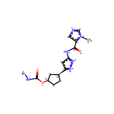 CC(C)NC(=O)O[C@@H]1CC[C@H](c2cc(NC(=O)c3cncn3C)n[nH]2)C1